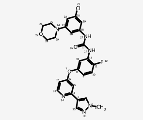 Cn1cc(-c2cc(Oc3ccc(F)c(NC(=O)Nc4cc(Cl)cc(N5CCOCC5)c4)c3)ccn2)cn1